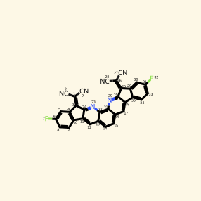 N#CC(C#N)=C1c2cc(F)ccc2-c2cc3ccc4cc5c(nc4c3nc21)C(=C(C#N)C#N)c1cc(F)ccc1-5